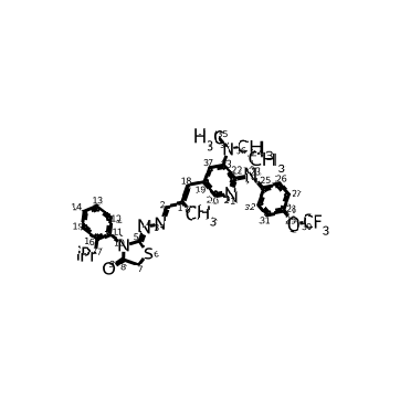 CC(/C=N/N=C1\SCC(=O)N1c1ccccc1C(C)C)=C\c1cnc(N(C)c2ccc(OC(F)(F)F)cc2)c(N(C)C)c1